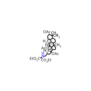 CCOC(=O)C(NCCCC(C)(OC(C)=O)C1CC[C@]2(C)[C@@H]1C(OC(C)=O)CC1[C@@]3(C)CC[C@H](OC(C)=O)C(C)(C)C3CC[C@]12C)C(=O)OCC